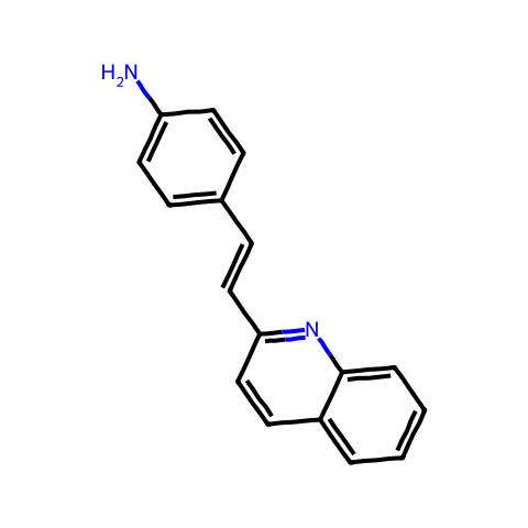 Nc1ccc(C=Cc2ccc3ccccc3n2)cc1